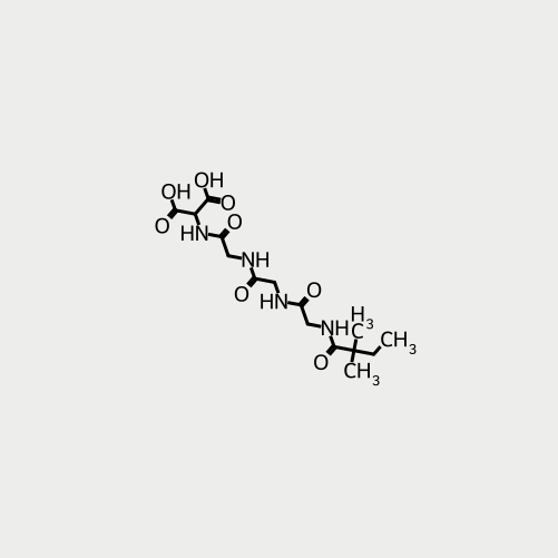 CCC(C)(C)C(=O)NCC(=O)NCC(=O)NCC(=O)NC(C(=O)O)C(=O)O